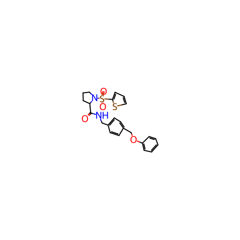 O=C(NCc1ccc(COc2ccccc2)cc1)C1CCCN1S(=O)(=O)c1cccs1